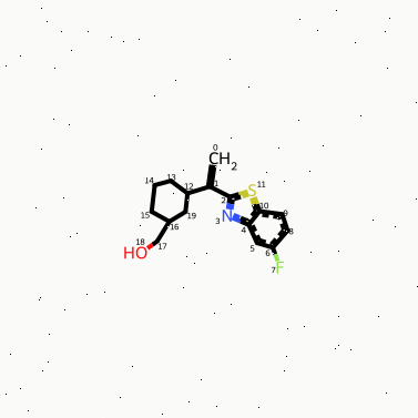 C=C(c1nc2cc(F)ccc2s1)C1CCCC(CO)C1